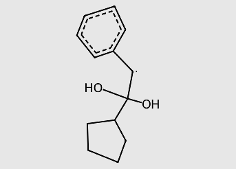 OC(O)([CH]c1ccccc1)C1CCCC1